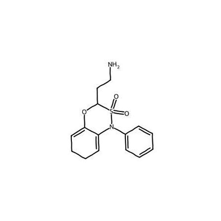 NCCC1OC2=CCCC=C2N(c2ccccc2)S1(=O)=O